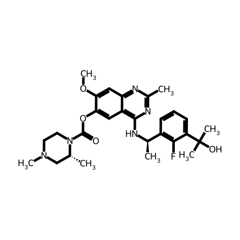 COc1cc2nc(C)nc(N[C@H](C)c3cccc(C(C)(C)O)c3F)c2cc1OC(=O)N1CCN(C)C[C@H]1C